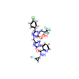 O=C(N[C@H]1C[C@H]1F)c1ncccc1-n1cnc(Cn2nc(-c3ccc(Cl)cc3)n(C[C@H](O)C(F)(F)F)c2=O)n1